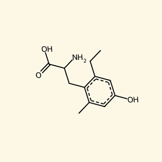 CCc1cc(O)cc(C)c1CC(N)C(=O)O